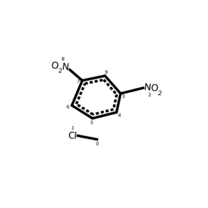 CCl.O=[N+]([O-])c1cccc([N+](=O)[O-])c1